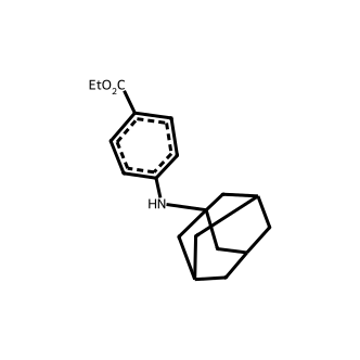 CCOC(=O)c1ccc(NC23CC4CC(CC(C4)C2)C3)cc1